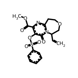 C=CC1COCCc2nc(C(=O)OC)c(OS(=O)(=O)c3ccccc3)c(=O)n21